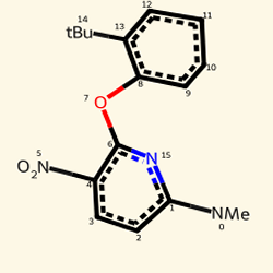 CNc1ccc([N+](=O)[O-])c(Oc2ccccc2C(C)(C)C)n1